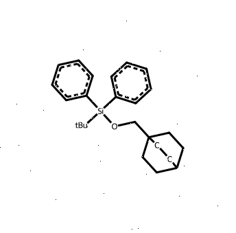 CC(C)(C)[Si](OCC12CCC(CC1)CC2)(c1ccccc1)c1ccccc1